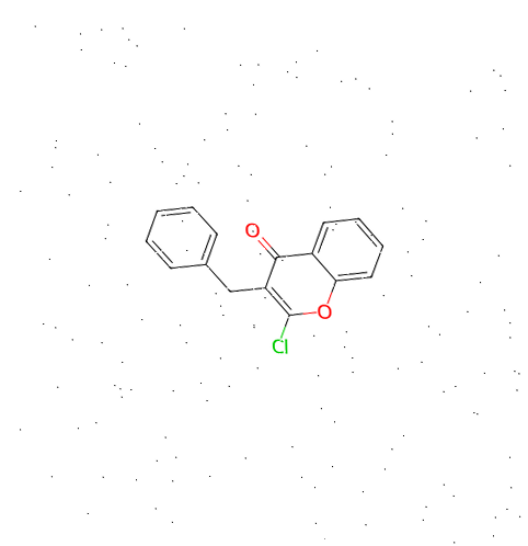 O=c1c(Cc2ccccc2)c(Cl)oc2ccccc12